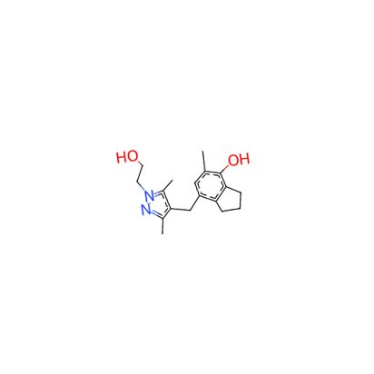 Cc1cc(Cc2c(C)nn(CCO)c2C)c2c(c1O)CCC2